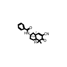 CC1(C)C(=O)C(C#N)=C[C@]2(C)C[C@@H](NC(=O)c3ccccc3)CC[C@H]12